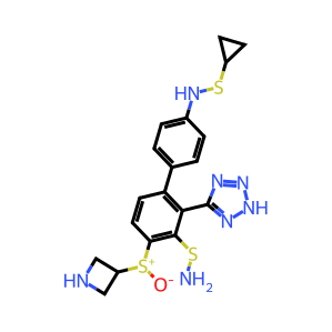 NSc1c([S+]([O-])C2CNC2)ccc(-c2ccc(NSC3CC3)cc2)c1-c1nn[nH]n1